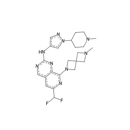 CN1CCC(n2cc(Nc3ncc4cc(C(F)F)nc(N5CC6(CN(C)C6)C5)c4n3)cn2)CC1